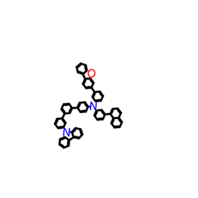 c1cc(-c2ccc(N(c3cccc(-c4ccc5c(c4)oc4ccccc45)c3)c3cccc(-c4cccc5ccccc45)c3)cc2)cc(-c2cccc(-n3c4ccccc4c4ccccc43)c2)c1